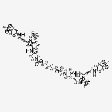 CS(=O)(=O)c1ccc(NCC#Cc2cc3c(NC4CCN(CC(=O)OCCCCCCOC(=O)N5CCC(Nc6cccc7c6cc(C#CCNc6ccc(S(C)(=O)=O)cc6)n7CC(F)(F)F)CC5)CC4)cccc3n2CC(F)(F)F)cc1